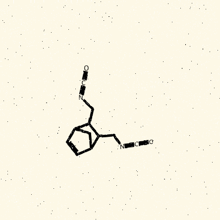 O=C=NCC1C2C=CC(C2)C1CN=C=O